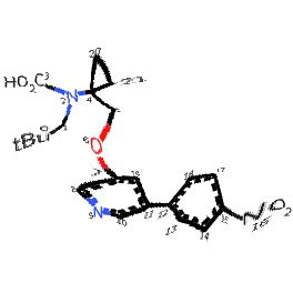 CC(C)(C)CN(C(=O)O)C1(COc2cncc(-c3ccc([N+](=O)[O-])cc3)c2)CC1